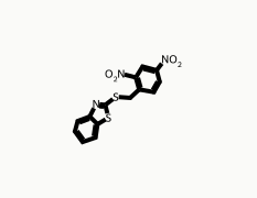 O=[N+]([O-])c1ccc(CSc2nc3ccccc3s2)c([N+](=O)[O-])c1